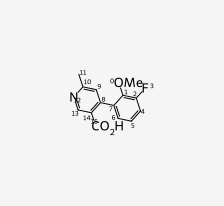 COc1c(F)cccc1-c1cc(C)ncc1C(=O)O